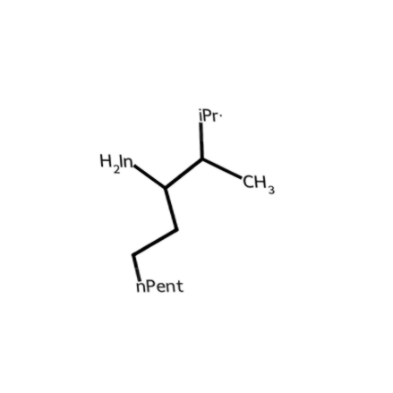 CCCCCCC[CH]([InH2])C(C)[C](C)C